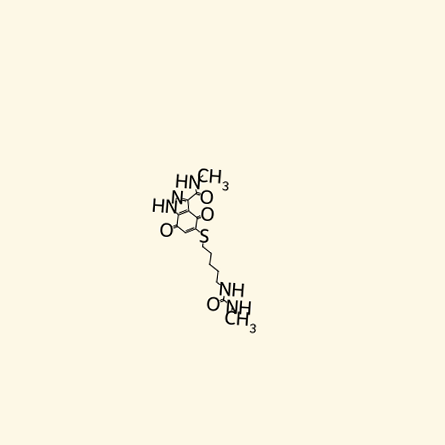 CNC(=O)NCCCCCSC1=CC(=O)c2[nH]nc(C(=O)NC)c2C1=O